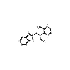 Nc1nccnc1N(C=O)Cc1nc2ccccc2[nH]1